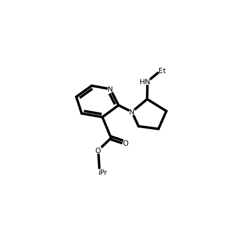 CCNC1CCCN1c1ncccc1C(=O)OC(C)C